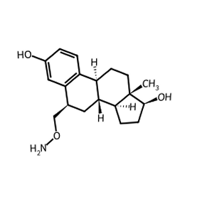 C[C@]12CC[C@@H]3c4ccc(O)cc4[C@H](CON)C[C@H]3[C@@H]1CC[C@@H]2O